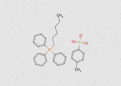 CCCCCC[P+](c1ccccc1)(c1ccccc1)c1ccccc1.Cc1ccc(S(=O)(=O)[O-])cc1